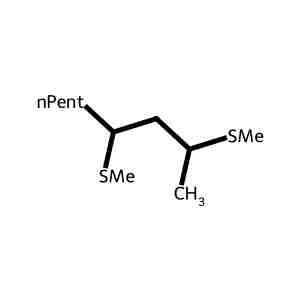 CCCCCC(CC(C)SC)SC